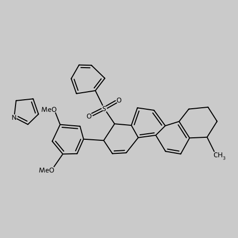 C1=CCN=C1.COc1cc(OC)cc(C2C=Cc3c(ccc4c5c(ccc34)C(C)CCC5)C2S(=O)(=O)c2ccccc2)c1